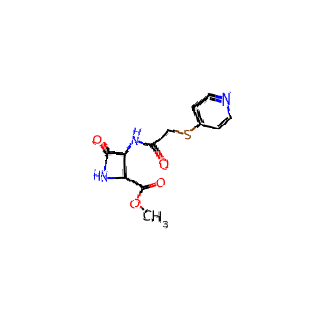 COC(=O)C1NC(=O)C1NC(=O)CSc1ccncc1